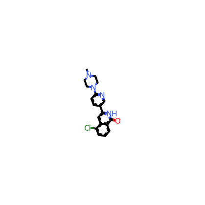 CN1CCN(c2ccc(-c3cc4c(Cl)cccc4c(=O)[nH]3)cn2)CC1